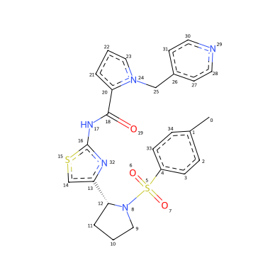 Cc1ccc(S(=O)(=O)N2CCC[C@@H]2c2csc(NC(=O)c3cccn3Cc3ccncc3)n2)cc1